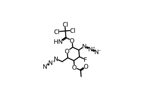 CC(=O)OC1C(CN=[N+]=[N-])OC(OC(=N)C(Cl)(Cl)Cl)C(N=[N+]=[N-])C1F